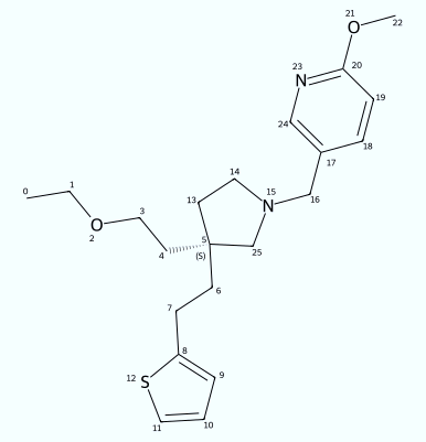 CCOCC[C@]1(CCc2cccs2)CCN(Cc2ccc(OC)nc2)C1